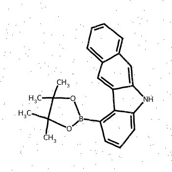 CC1(C)OB(c2cccc3[nH]c4cc5ccccc5cc4c23)OC1(C)C